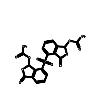 CCCC(=O)OC1OC(=O)c2c1cccc2S(=O)(=O)c1cccc2c1C(OC(=O)CCC)OC2=O